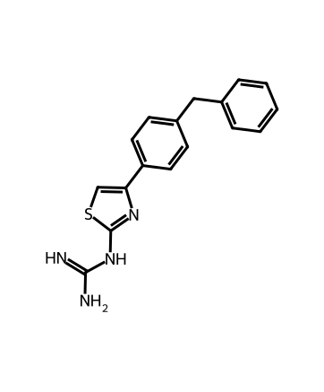 N=C(N)Nc1nc(-c2ccc(Cc3ccccc3)cc2)cs1